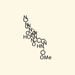 COc1ccc(CNc2nccc3cc4[nH]c([C@H](O)[C@H]5OCCN(c6ccn(-c7ccncc7)n6)C5=O)nc(=O)c4cc23)cc1